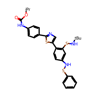 CC(C)OC(=O)Nc1ccc(-c2ncc(-c3ccc(NSc4ccccc4)cc3SNC(C)(C)C)s2)cc1